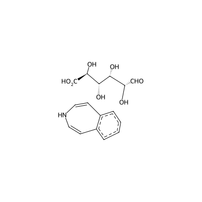 C1=Cc2ccccc2C=CN1.O=C[C@H](O)[C@@H](O)[C@H](O)[C@H](O)C(=O)O